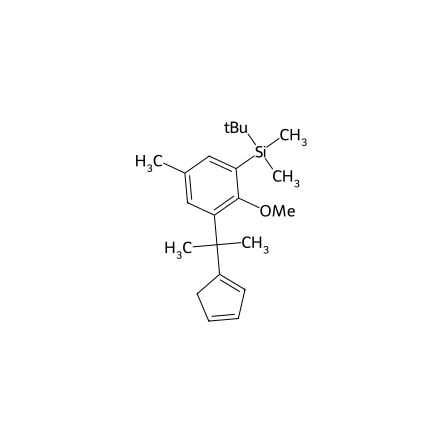 COc1c(C(C)(C)C2=CC=CC2)cc(C)cc1[Si](C)(C)C(C)(C)C